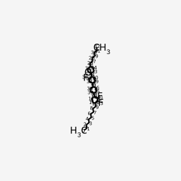 CCCCCCCCCCc1ccc(-c2ccc(-c3ccc(C4CCC(CCCCCCC)CO4)c(F)c3)cc2)c(F)c1F